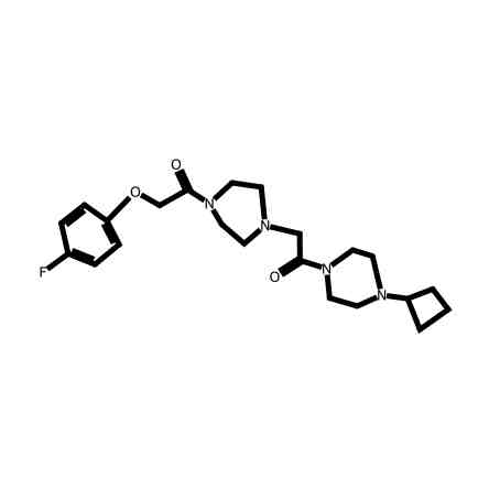 O=C(COc1ccc(F)cc1)N1CCN(CC(=O)N2CCN(C3CCC3)CC2)CC1